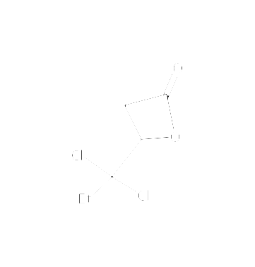 CCC(Cl)(Cl)C1CC(=O)O1